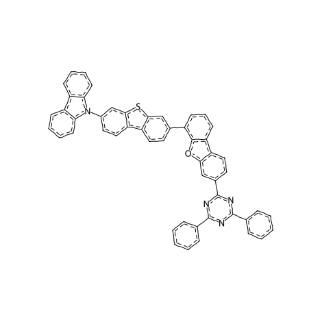 c1ccc(-c2nc(-c3ccccc3)nc(-c3ccc4c(c3)oc3c(-c5ccc6c(c5)sc5cc(-n7c8ccccc8c8ccccc87)ccc56)cccc34)n2)cc1